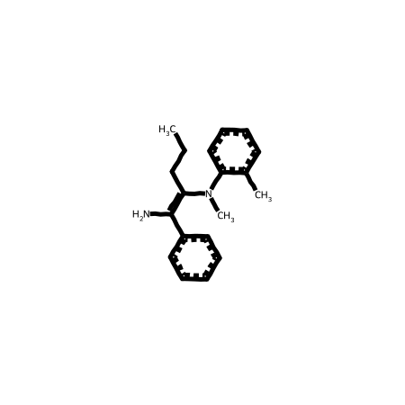 CCCC(=C(N)c1ccccc1)N(C)c1ccccc1C